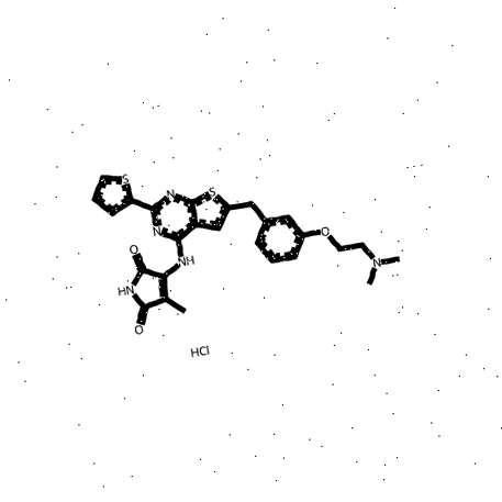 CC1=C(Nc2nc(-c3cccs3)nc3sc(Cc4cccc(OCCN(C)C)c4)cc23)C(=O)NC1=O.Cl